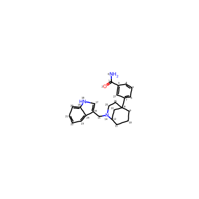 NC(=O)c1cccc(C23CCCC(C2)N(Cc2c[nH]c4ccccc24)CC3)c1